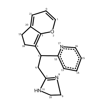 C1=COC2=C(C(CC3=NCCN3)c3ccccn3)CCC2=C1